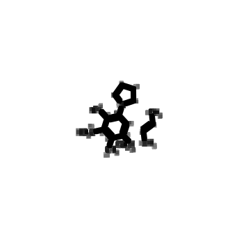 CC=C[SiH3].CCCc1c(N2CCCC2)cc(C(=O)O)c(C)c1C(=O)O